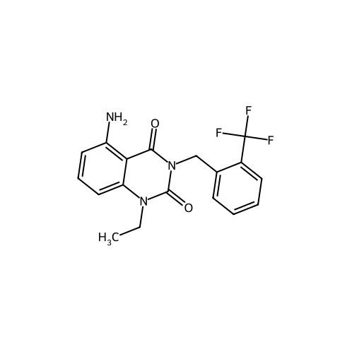 CCn1c(=O)n(Cc2ccccc2C(F)(F)F)c(=O)c2c(N)cccc21